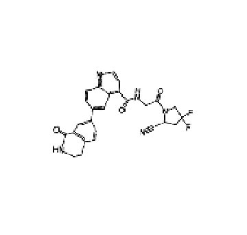 N#CC1CC(F)(F)CN1C(=O)CNC(=O)c1ccnc2ccc(-c3ccc4c(c3)C(=O)NCC4)cc12